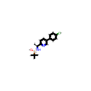 C[C@H](N[S@@+]([O-])C(C)(C)C)c1ccc(-c2ccc(Cl)cc2)cn1